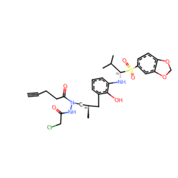 C#CCCC(=O)N(C[C@H](C)Cc1cccc(N[C@H](C(C)C)S(=O)(=O)c2ccc3c(c2)OCO3)c1O)NC(=O)CCl